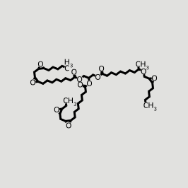 CCCCCC1OC1COC(C)CCCCCCCC(=O)OCC(COC(=O)CCCCCCCC1OC1CC1OC1CCCCC)OC(=O)CCCCCCCC1OC1CC1OC1CC